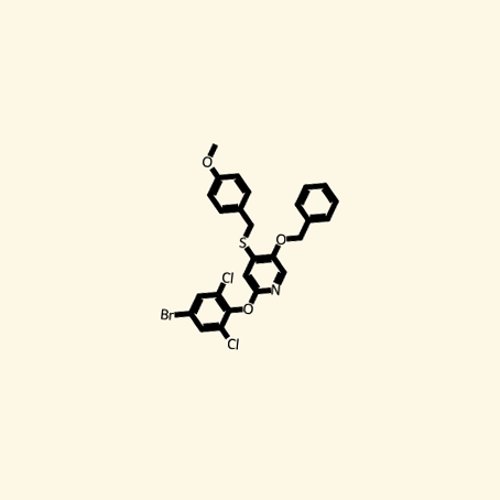 COc1ccc(CSc2cc(Oc3c(Cl)cc(Br)cc3Cl)ncc2OCc2ccccc2)cc1